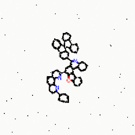 c1ccc(-c2ccc3ccc4ccc(-c5cc6c(-c7ccc8c(c7)C7(c9ccccc9-c9ccccc97)c7ccccc7-8)nc7ccccc7c6c6c5oc5ccccc56)nc4c3n2)cc1